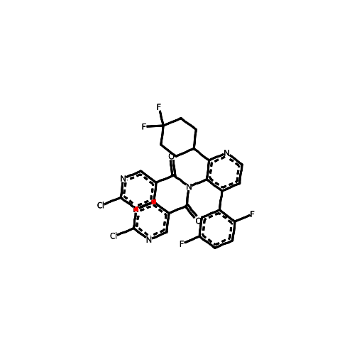 O=C(c1cnc(Cl)nc1)N(C(=O)c1cnc(Cl)nc1)c1c(-c2cc(F)ccc2F)ccnc1C1CCC(F)(F)CC1